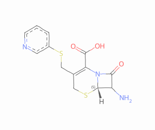 NC1C(=O)N2C(C(=O)O)=C(CSc3cccnc3)CS[C@@H]12